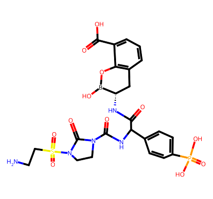 NCCS(=O)(=O)N1CCN(C(=O)NC(C(=O)N[C@H]2Cc3cccc(C(=O)O)c3OB2O)c2ccc(P(=O)(O)O)cc2)C1=O